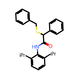 CC(C)c1cccc(C(C)C)c1NC(=O)C(SCc1ccccc1)c1ccccc1